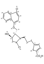 O=C(O)c1ccc(CCC[C@H]2C(Cl)C[C@@H](O)[C@@H]2COc2ccc(Cl)c3ccccc23)s1